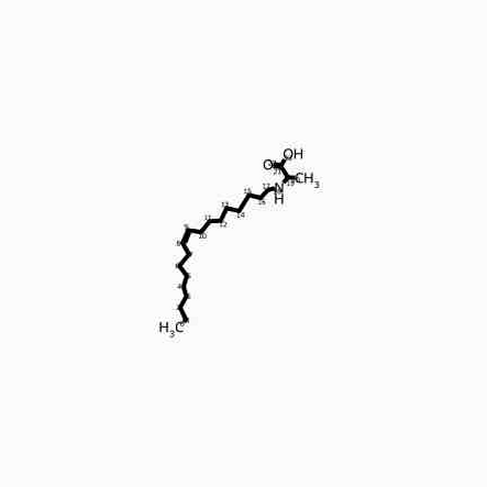 CCCCCCCC/C=C\CCCCCCCCNC(C)C(=O)O